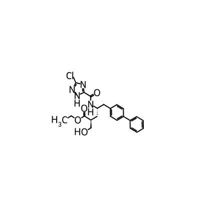 CCOC(=O)[C@H](CO)C[C@@H](Cc1ccc(-c2ccccc2)cc1)NC(=O)c1nc(Cl)n[nH]1